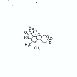 C.Cc1cc2c(c3c1NC(=O)C3(C)C)OC1COS(=O)(=O)CCC21